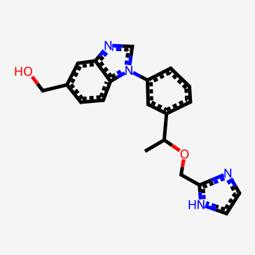 CC(OCc1ncc[nH]1)c1cccc(-n2cnc3cc(CO)ccc32)c1